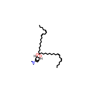 CCCC/C=C\C/C=C\CCCCCCCCC1(CCCCCCCC/C=C\C/C=C\CCCC)O[C@@H]2C3CC(C[C@@H]3N(C)C)[C@@H]2O1